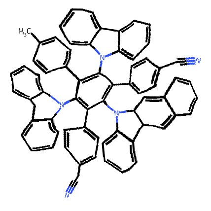 Cc1ccc(-c2c(-n3c4ccccc4c4ccccc43)c(-c3ccc(C#N)cc3)c(N3c4ccccc4C4C=c5ccccc5=CC43)c(-c3ccc(C#N)cc3)c2-n2c3ccccc3c3ccccc32)cc1